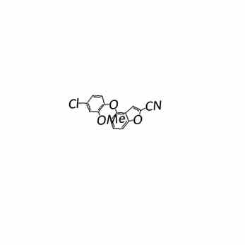 COc1cc(Cl)ccc1Oc1cccc2oc(C#N)cc12